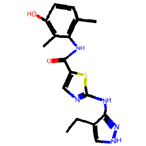 CCc1c[nH]nc1Nc1ncc(C(=O)Nc2c(C)ccc(O)c2C)s1